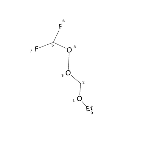 CCOCOOC(F)F